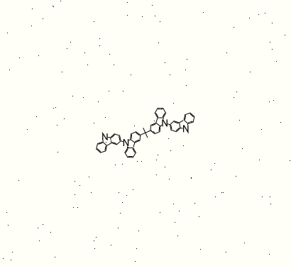 Cn1c2ccccc2c2cc(-n3c4ccccc4c4cc(C(C)(C)c5ccc6c(c5)c5ccccc5n6-c5ccc6c(c5)c5ccccc5n6C)ccc43)ccc21